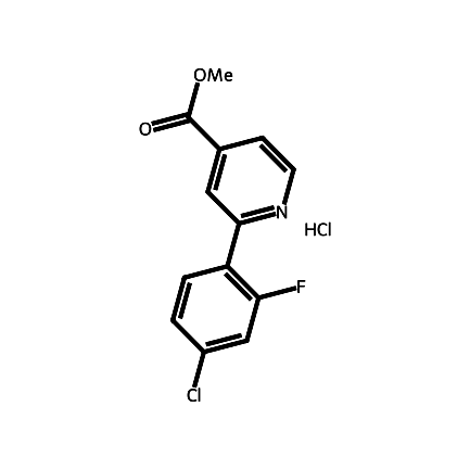 COC(=O)c1ccnc(-c2ccc(Cl)cc2F)c1.Cl